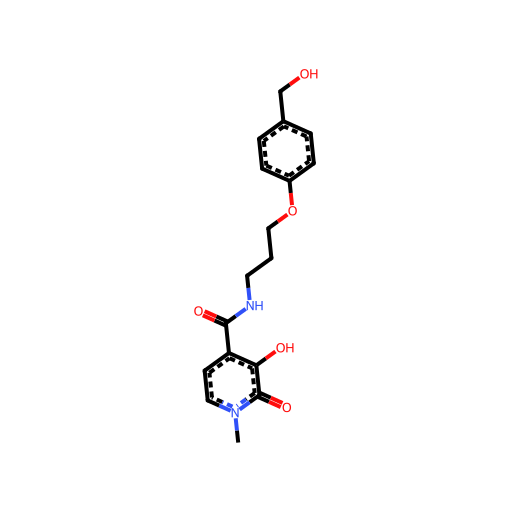 Cn1ccc(C(=O)NCCCOc2ccc(CO)cc2)c(O)c1=O